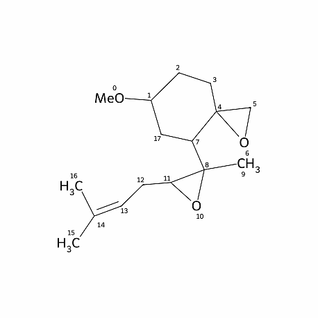 COC1CCC2(CO2)C(C2(C)OC2CC=C(C)C)C1